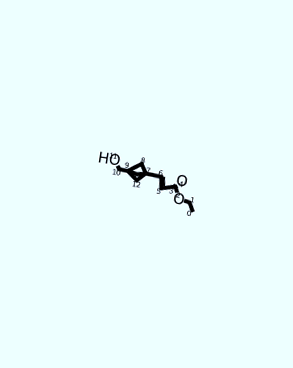 CCOC(=O)C=CC12CC(CO)(C1)C2